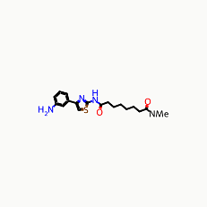 CNC(=O)CCCCCCC(=O)Nc1nc(-c2cccc(N)c2)cs1